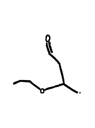 [CH2]C(CC=O)OCC